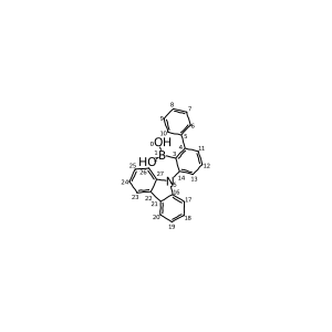 OB(O)c1c(-c2ccccc2)cccc1-n1c2ccccc2c2ccccc21